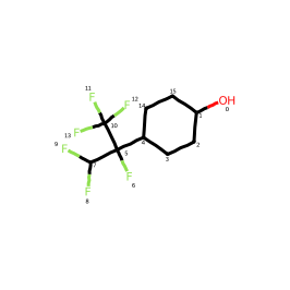 OC1CCC(C(F)(C(F)F)C(F)(F)F)CC1